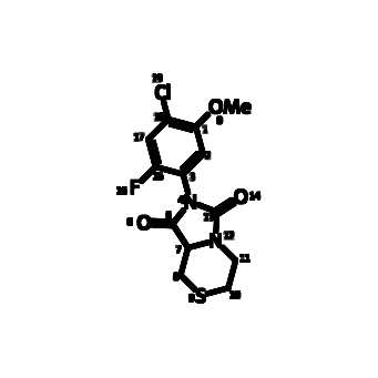 COc1cc(N2C(=O)C3CSCCN3C2=O)c(F)cc1Cl